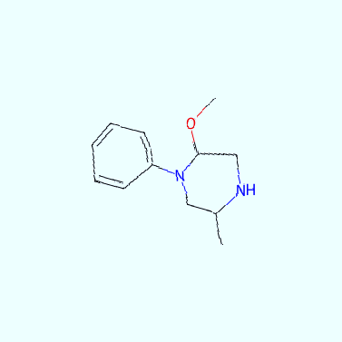 COC1CNC(C)CN1c1ccccc1